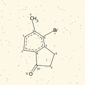 Cc1ccc2c(c1Br)CCC2=O